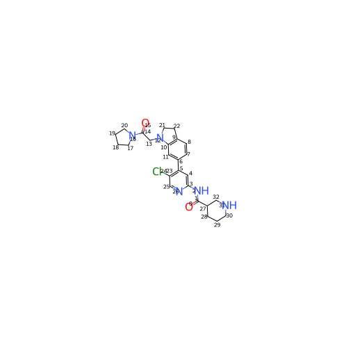 O=C(Nc1cc(-c2ccc3c(c2)N(CC(=O)N2CCCC2)CC3)c(Cl)cn1)C1CCCNC1